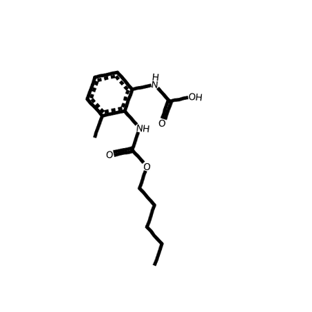 CCCCCOC(=O)Nc1c(C)cccc1NC(=O)O